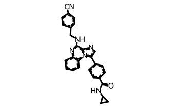 N#Cc1ccc(CNc2nc3ccccc3n3c(-c4ccc(C(=O)NC5CC5)cc4)cnc23)cc1